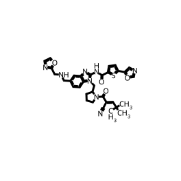 CC(C)(C)C=C(C#N)C(=O)N1CCCC1Cn1c(NC(=O)c2ccc(-c3cnco3)s2)nc2cc(CNCc3ncco3)ccc21